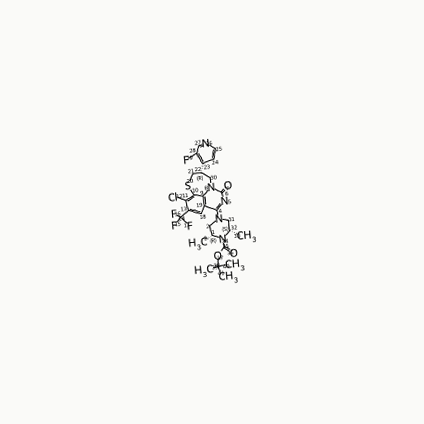 C[C@@H]1CN(c2nc(=O)n3c4c(c(Cl)c(C(F)(F)F)cc24)SC[C@H](c2ccncc2F)C3)C[C@H](C)N1C(=O)OC(C)(C)C